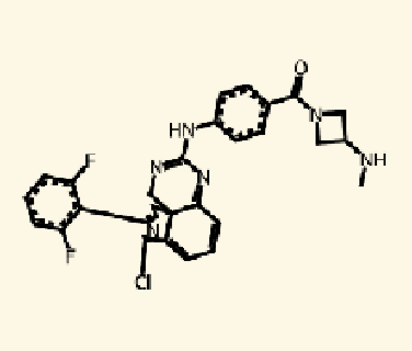 CNC1CN(C(=O)c2ccc(NC3=NCC45CC=C(c6c(F)cccc6F)N=C(Cl)C4=CC=CC5=N3)cc2)C1